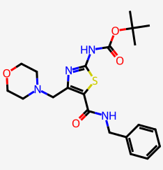 CC(C)(C)OC(=O)Nc1nc(CN2CCOCC2)c(C(=O)NCc2ccccc2)s1